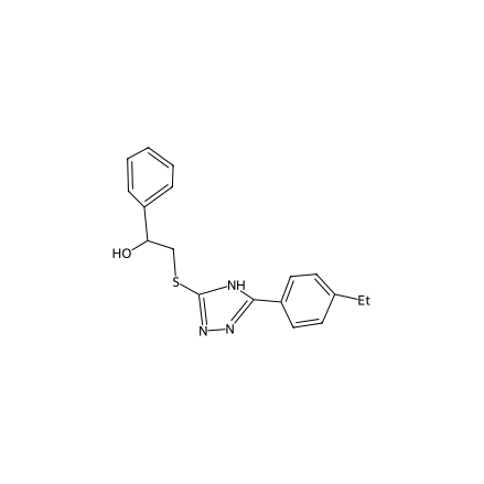 CCc1ccc(-c2nnc(SCC(O)c3ccccc3)[nH]2)cc1